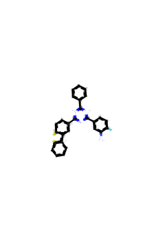 Nc1cc(-c2nc(-c3ccccc3)nc(-c3ccc4sc5ccccc5c4c3)n2)ccc1F